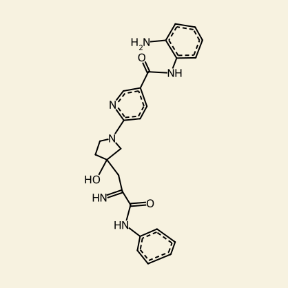 N=C(CC1(O)CCN(c2ccc(C(=O)Nc3ccccc3N)cn2)C1)C(=O)Nc1ccccc1